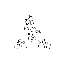 CC(C)(C)C(=O)SCCOP(=O)(OCCSC(=O)C(C)(C)C)OC[C@@]1(C)O[C@@H](c2ccc3c(N)ncnn23)[C@H](O)[C@@H]1O